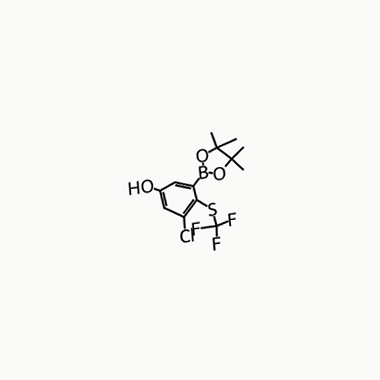 CC1(C)OB(c2cc(O)cc(Cl)c2SC(F)(F)F)OC1(C)C